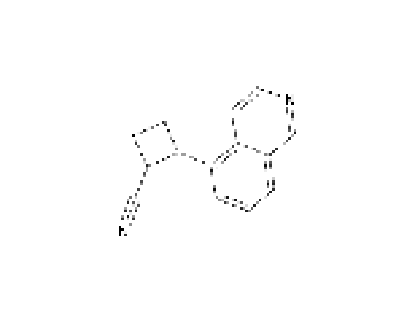 N#CC1CCC1c1cccc2cnccc12